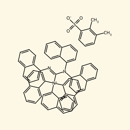 Cc1cccc(S(=O)(=O)[O-])c1C.c1ccc2c(N=C(N(c3cccc4ccccc34)c3cccc4ccccc34)[N+](c3cccc4ccccc34)(c3cccc4ccccc34)c3cccc4ccccc34)cccc2c1